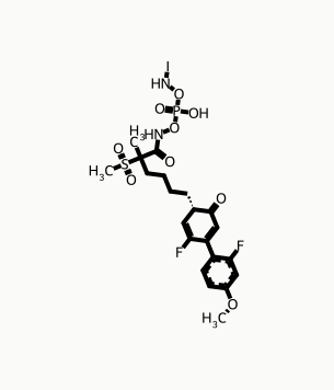 COc1ccc(C2=CC(=O)[C@@H](CCCCC(C)(C(=O)NOP(=O)(O)ONI)S(C)(=O)=O)C=C2F)c(F)c1